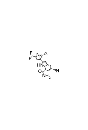 N#Cc1cc(C(N)=O)c2[nH]c(-c3cc(C(F)F)nn3C3CC3)cc2c1